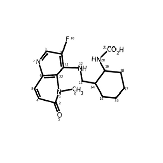 Cn1c(=O)ccc2ncc(F)c(NCC3CCCCC3NC(=O)O)c21